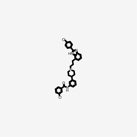 O=C(Nc1cccc(C2CCN(CCCc3cccc4nc(-c5ccc(Cl)cc5)[nH]c34)CC2)c1)c1cccc(Cl)c1